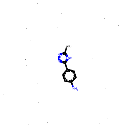 CCCCc1nnc(-c2ccc(N)cc2)[nH]1